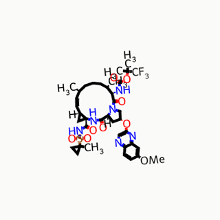 COc1ccc2ncc(O[C@@H]3C[C@H]4C(=O)N[C@]5(C(=O)NS(=O)(=O)C6(C)CC6)C[C@H]5/C=C\[C@@H](C)CCC[C@@H](C)[C@H](NC(=O)OC(C)(C)C(F)(F)F)C(=O)N4C3)nc2c1